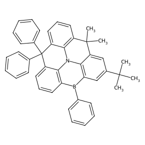 CC(C)(C)c1cc2c3c(c1)C(C)(C)c1cccc4c1N3c1c(cccc1C4(c1ccccc1)c1ccccc1)B2c1ccccc1